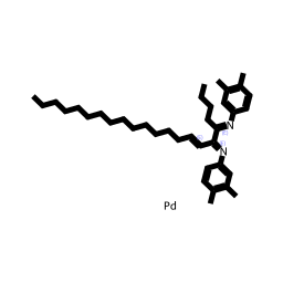 CCCCCCCCCCCCCC/C=C/C(=N\c1ccc(C)c(C)c1)C(/CCCC)=N/c1ccc(C)c(C)c1.[Pd]